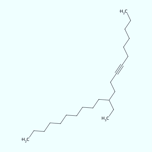 [CH2]CCCCCC#CCCC(CC)CCCCCCCCC[CH2]